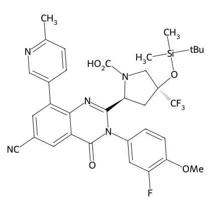 COc1ccc(-n2c([C@@H]3C[C@@](O[Si](C)(C)C(C)(C)C)(C(F)(F)F)CN3C(=O)O)nc3c(-c4ccc(C)nc4)cc(C#N)cc3c2=O)cc1F